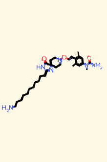 Cc1cc(N(C)C(N)=O)cc(C)c1/C=C/ON1CCC2(CC1)N=C(CCCCCCCCCCCN)NC2=O